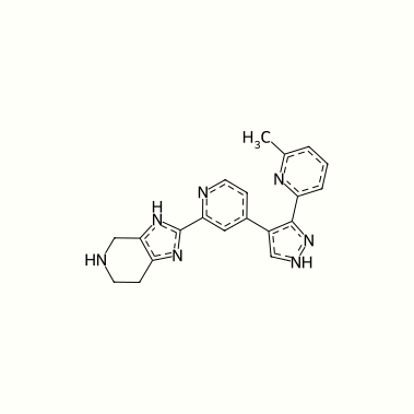 Cc1cccc(-c2n[nH]cc2-c2ccnc(-c3nc4c([nH]3)CNCC4)c2)n1